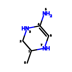 CC1CNC(N)=CN1